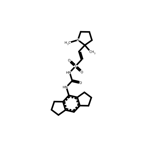 CN1CCCC1(C)/C=C/S(=O)(=O)NC(=O)Nc1c2c(cc3c1CCC3)CCC2